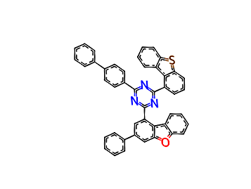 c1ccc(-c2ccc(-c3nc(-c4cc(-c5ccccc5)cc5oc6ccccc6c45)nc(-c4cccc5sc6ccccc6c45)n3)cc2)cc1